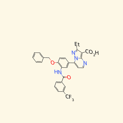 CCc1nn2c(-c3ccc(OCc4ccccc4)c(NC(=O)c4cccc(C(F)(F)F)c4)c3)ccnc2c1C(=O)O